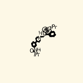 CCCS(=O)(=O)N[C@@H](CCN1CCC(c2cccc(NC(=O)C(C)C)c2)CC1)c1ccccc1